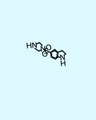 O=S(=O)(c1ccc2c(c1)CCN2)N1CCNCC1